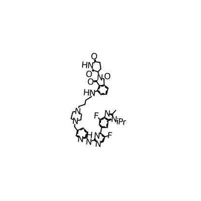 Cc1nc2c(F)cc(-c3nc(Nc4ccc(CN5CCN(CCCCNc6cccc7c6C(=O)N(C6CCC(=O)NC6=O)C7=O)CC5)cn4)ncc3F)cc2n1C(C)C